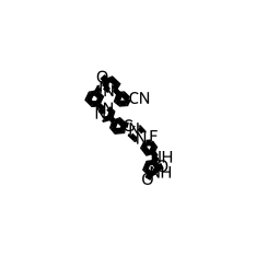 N#Cc1cccc(-c2ccc(=O)n(Cc3cccc(-c4ncc(-c5cccc(CN6CCN(c7ccc(NC8CCC(=O)NC8=O)cc7F)CC6)c5)cn4)c3)n2)c1